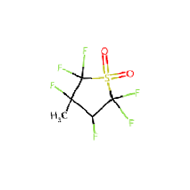 CC1(F)C(F)C(F)(F)S(=O)(=O)C1(F)F